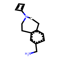 NCc1ccc2c(c1)CCN(C1=CC=C1)CC2